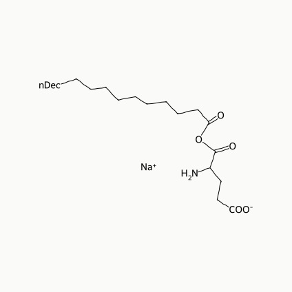 CCCCCCCCCCCCCCCCCCCC(=O)OC(=O)C(N)CCC(=O)[O-].[Na+]